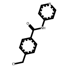 O=C(Nc1ccncc1)c1ccc(CCl)cc1